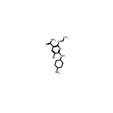 CCOc1nc(NC2CCC(N)CC2)c(Br)cc1C(N)=O